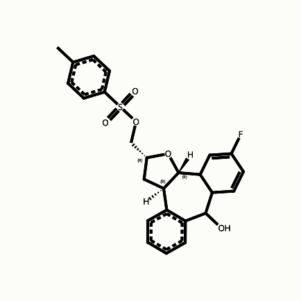 Cc1ccc(S(=O)(=O)OC[C@H]2C[C@@H]3c4ccccc4C(O)C4C=CC(F)=CC4[C@H]3O2)cc1